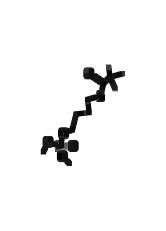 COP(=O)(OC)OCCCCSC(=O)C(C)(C)C